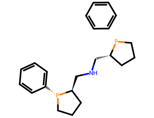 c1ccc([P@@]2CCC[C@@H]2CNC[C@H]2CCC[P@]2c2ccccc2)cc1